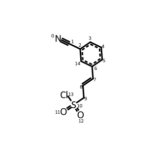 N#Cc1cccc(C=CCS(=O)(=O)Cl)c1